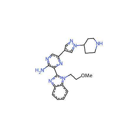 COCCn1c(-c2nc(-c3cnn(C4CCNCC4)c3)cnc2N)nc2ccccc21